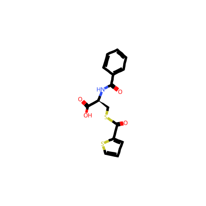 O=C(N[C@@H](CSC(=O)c1cccs1)C(=O)O)c1ccccc1